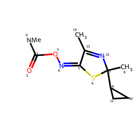 CNC(=O)ON=C1SC(C)(C2CC2)N=C1C